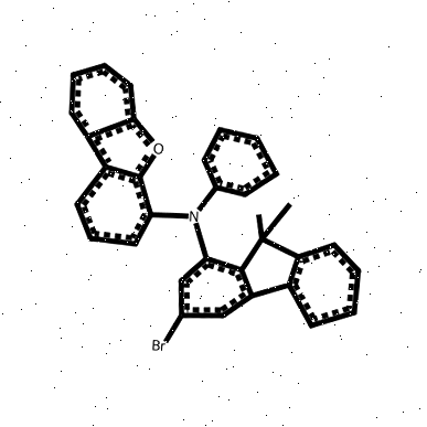 CC1(C)c2ccccc2-c2cc(Br)cc(N(c3ccccc3)c3cccc4c3oc3ccccc34)c21